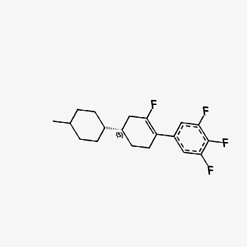 CC1CCC([C@H]2CCC(c3cc(F)c(F)c(F)c3)=C(F)C2)CC1